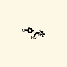 C[N+]1(C)C=NC(C(CO)Oc2ccc(Cl)cc2)=N1